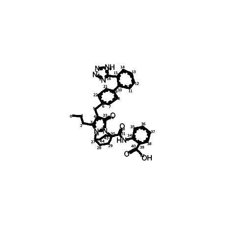 CCCc1c(Cc2ccc(-c3ccccc3-c3nnn[nH]3)cc2)c(=O)n2n1C1CCC2(C(=O)Nc2ccccc2C(=O)O)CC1